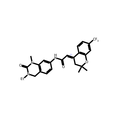 CCN1Cc2ccc(NC(=O)/C=C3\CC(C)(C)Oc4cc(C(F)(F)F)ccc43)cc2N(C)C1=O